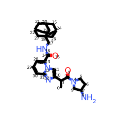 CC(C(=O)N1CCC(N)C1)c1cn2c(C(=O)NCC34CC5CC(CC(C5)C3)C4)cccc2n1